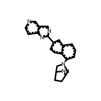 c1cc(N2CC3CCC(C2)N3)c2ccc(-c3ncc4cnccc4n3)cc2c1